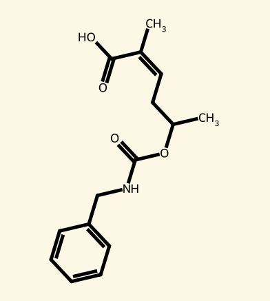 CC(=CCC(C)OC(=O)NCc1ccccc1)C(=O)O